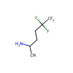 N#CC(N)CCC(F)(F)C(F)(F)F